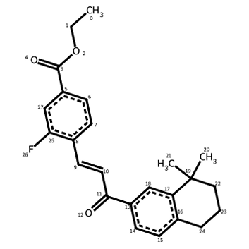 CCOC(=O)c1ccc(C=CC(=O)c2ccc3c(c2)C(C)(C)CCC3)c(F)c1